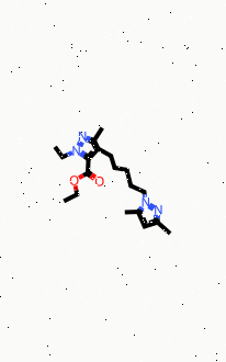 CCOC(=O)c1c(CCCCCn2nc(C)cc2C)c(C)nn1CC